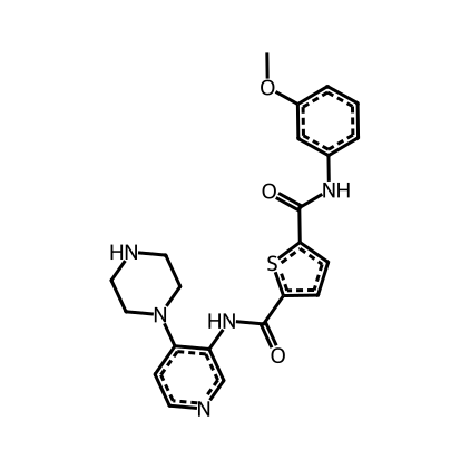 COc1cccc(NC(=O)c2ccc(C(=O)Nc3cnccc3N3CCNCC3)s2)c1